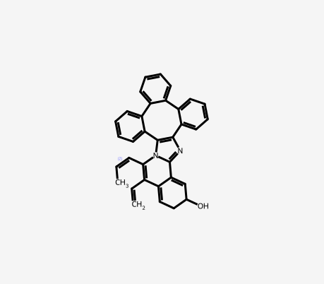 C=Cc1c(/C=C\C)n2c3c(nc2c2c1=CCC(O)C=2)-c1ccccc1-c1ccccc1-c1ccccc1-3